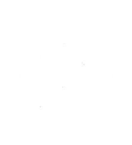 O=C(Nc1cc(F)c(Br)cc1Br)C(F)(F)F